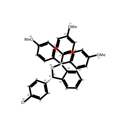 COc1ccc(P2(c3ccc(OC)cc3)(c3ccc(OC)cc3)O[C@@H](c3ccc(Cl)cc3)c3ccccc32)cc1